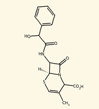 CC1=CS[C@H]2C(NC(=O)C(O)c3ccccc3)C(=O)N2C1C(=O)O